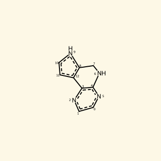 c1cnc2c(n1)NCc1[nH]ccc1-2